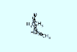 Cc1ccc(OCC(O)COc2ccc(C(C)(C)c3ccc(OCC4CO4)cc3)cc2)cc1